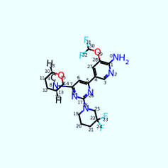 Nc1ncc(-c2cc(N3C[C@@H]4CC[C@H]3CO4)nc(N3CCCC(F)(F)C3)n2)cc1OC(F)F